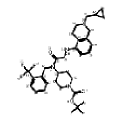 CC(C)(C)OC(=O)N1CCC(N(Cc2ccccc2C(F)(F)F)C(=O)CNc2cccc3c2CCN(CC2CC2)C3)CC1